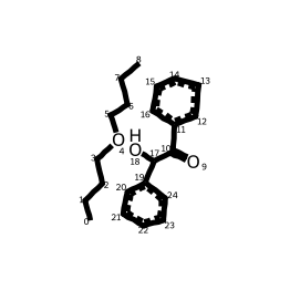 CCCCOCCCC.O=C(c1ccccc1)C(O)c1ccccc1